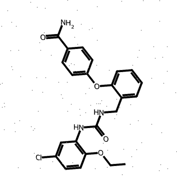 CCOc1ccc(Cl)cc1NC(=O)NCc1ccccc1Oc1ccc(C(N)=O)cc1